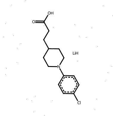 O=C(O)CCC1CCN(c2ccc(Cl)cc2)CC1.[LiH]